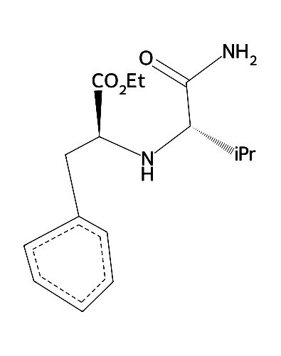 CCOC(=O)[C@H](Cc1ccccc1)N[C@H](C(N)=O)C(C)C